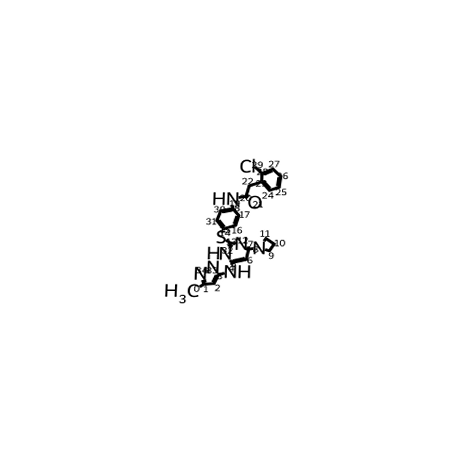 Cc1cc(Nc2cc(N3CCC3)nc(Sc3ccc(NC(=O)Cc4ccccc4Cl)cc3)n2)[nH]n1